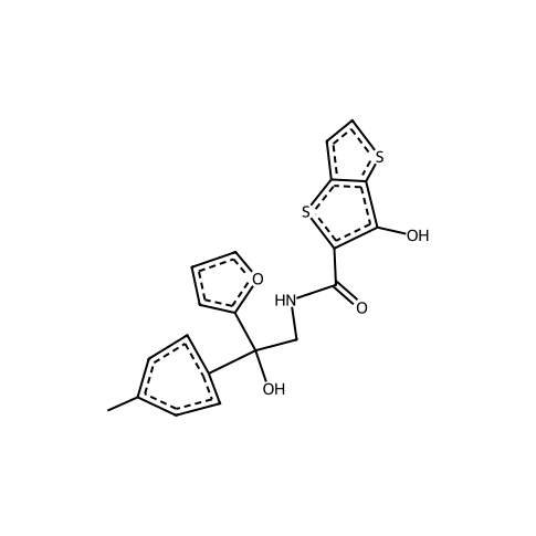 Cc1ccc(C(O)(CNC(=O)c2sc3ccsc3c2O)c2ccco2)cc1